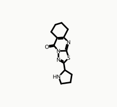 O=c1c2c(nc3sc(C4CCCN4)nn13)CCCC2